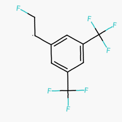 FC[CH]c1cc(C(F)(F)F)cc(C(F)(F)F)c1